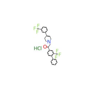 Cl.O=C(CN1CC=C(c2cccc(C(F)(F)F)c2)CC1)c1ccc(-c2ccccc2)c(C(F)(F)F)c1